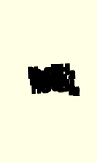 C=C1CC[C@H]2[C@H](CN)[C@@H]([C@@]3(C)Cc4cncnc4C[C@@H]3CO)CC[C@]12C